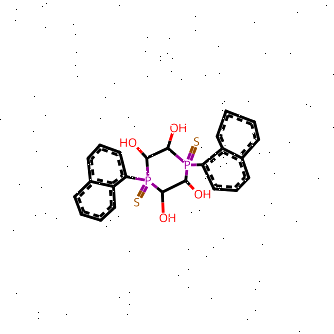 OC1C(O)P(=S)(c2cccc3ccccc23)C(O)C(O)P1(=S)c1cccc2ccccc12